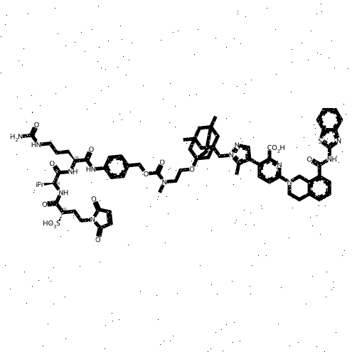 Cc1c(-c2ccc(N3CCc4cccc(C(=O)Nc5nc6ccccc6s5)c4C3)nc2C(=O)O)cnn1CC12CC3(C)CC(C)(C1)CC(OCCN(C)C(=O)OCc1ccc(NC(=O)[C@H](CCCNC(N)=O)NC(=O)[C@@H](NC(=O)[C@H](CCN4C(=O)C=CC4=O)S(=O)(=O)O)C(C)C)cc1)(C3)C2